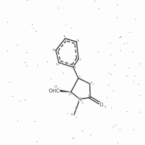 CN1C(=O)CC(c2ccccc2)[C@@H]1C=O